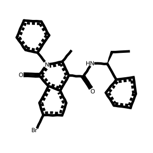 CC[C@H](NC(=O)c1c(C)n(-c2ccccc2)c(=O)c2cc(Br)ccc12)c1ccccc1